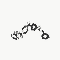 O=C(Nc1cnccn1)N1CCN(C(=O)c2ccc(OCCc3ccccc3)cc2)CC1